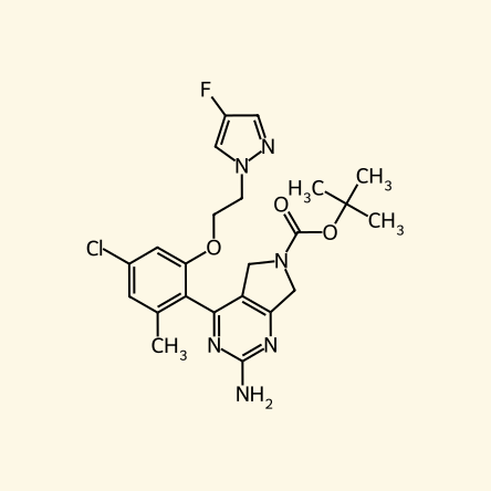 Cc1cc(Cl)cc(OCCn2cc(F)cn2)c1-c1nc(N)nc2c1CN(C(=O)OC(C)(C)C)C2